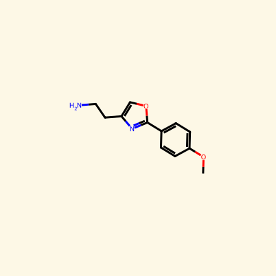 COc1ccc(-c2nc(CCN)co2)cc1